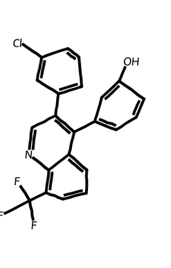 Oc1cccc(-c2c(-c3cccc(Cl)c3)cnc3c(C(F)(F)F)cccc23)c1